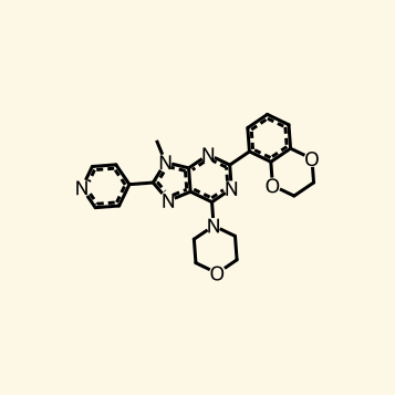 Cn1c(-c2ccncc2)nc2c(N3CCOCC3)nc(-c3cccc4c3OCCO4)nc21